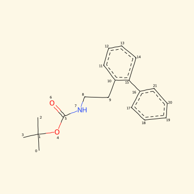 CC(C)(C)OC(=O)NCCc1ccccc1-c1ccccc1